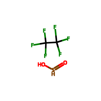 FC(F)(F)C(F)(F)F.O=[SH]O